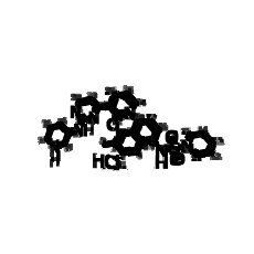 Cc1ccc2c(NS(=O)(=O)N3CCCCC3)cccc2c1Oc1ncccc1-c1ccnc(NC2CCCNC2)n1.Cl